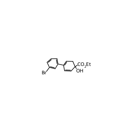 CCOC(=O)C1(O)C=CC(c2cccc(Br)c2)=CC1